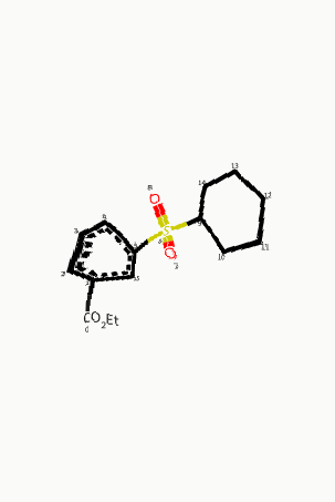 CCOC(=O)c1cccc(S(=O)(=O)C2CCCCC2)c1